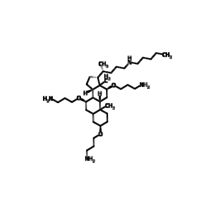 CCCCCNCCC[C@@H](C)[C@H]1CC[C@H]2C3[C@H](OCCCN)CC4C[C@H](OCCCN)CCC4(C)[C@H]3C[C@H](OCCCN)C12C